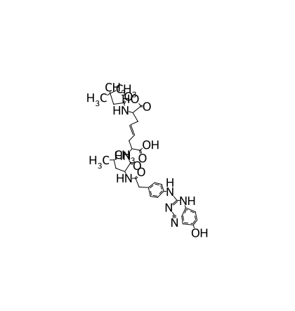 CC(C)CC(NC(=O)Cc1ccc(NC(=NC#N)Nc2ccc(O)cc2)cc1)C(=O)NC(CC=CCC(NC(=O)CC(C)(C)C)C(=O)O)C(=O)O